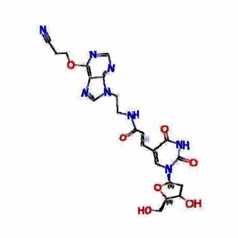 N#CCCOc1ncnc2c1ncn2CCNC(=O)/C=C/c1cn([C@H]2CC(O)[C@@H](CO)O2)c(=O)[nH]c1=O